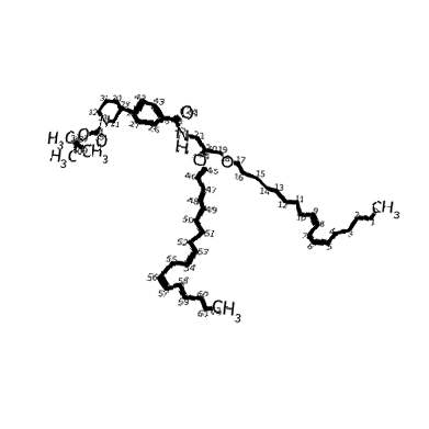 CCCCC/C=C\C/C=C\CCCCCCCCOCC(CNC(=O)c1ccc(C2CCCN(C(=O)OC(C)(C)C)C2)cc1)OCCCCCCCC/C=C\C/C=C\CCCCC